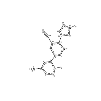 Cc1ccc(N)cc1-c1cnc(-c2cnn(C)c2)c(C#N)c1